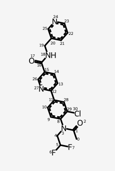 CC(=O)N(CC(F)F)c1ccc(-c2ccc(C(=O)NCc3cccnc3)cn2)cc1Cl